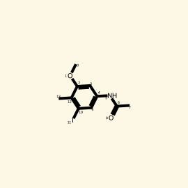 COc1cc(NC(C)=O)cc(I)c1C